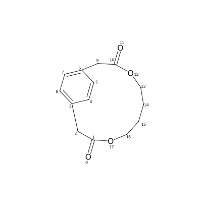 O=C1Cc2ccc(cc2)CC(=O)OCCCCO1